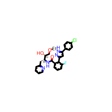 CCOC[C@@H](O)[C@@H](Cc1ccccn1)NC(=O)c1cccc(F)c1-c1cc(-c2ccc(Cl)cc2)[nH]n1